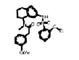 CCOc1ccccc1S(=O)(=O)Nc1ccc2c(c1)C(N(C)C(=O)Cc1cccc(OC)c1)CCC2